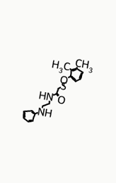 Cc1cccc(OSCC(=O)NCCNc2ccccc2)c1C